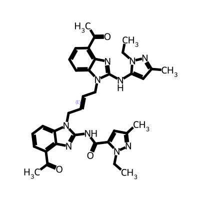 CCn1nc(C)cc1Nc1nc2c(C(C)=O)cccc2n1C/C=C/Cn1c(NC(=O)c2cc(C)nn2CC)nc2c(C(C)=O)cccc21